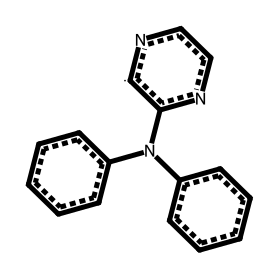 [c]1nccnc1N(c1ccccc1)c1ccccc1